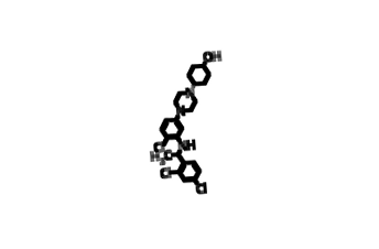 CC(Nc1cc(N2CCN([C@H]3CC[C@H](O)CC3)CC2)ccc1Cl)c1ccc(Cl)cc1Cl